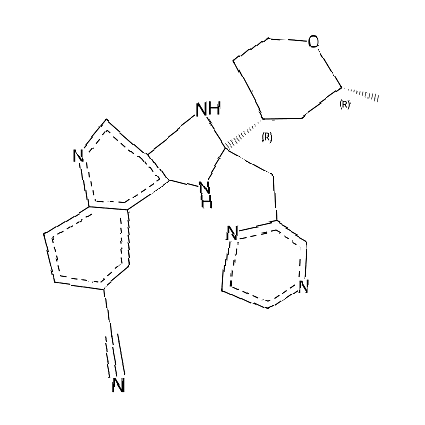 C[C@@H]1C[C@H](C2(Cc3cnccn3)Nc3cnc4ccc(C#N)cc4c3N2)CCO1